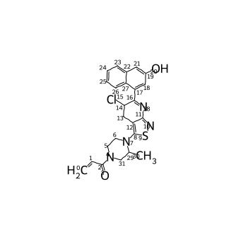 C=CC(=O)N1CCN(c2snc3c2CC(Cl)C(c2cc(O)cc4ccccc24)=N3)C(C)C1